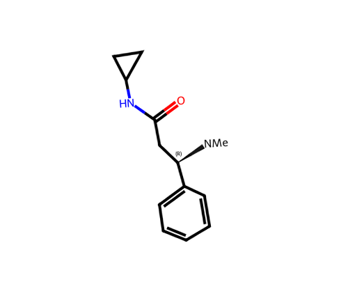 [CH2-][NH2+][C@H](CC(=O)NC1CC1)c1ccccc1